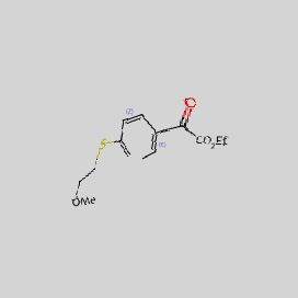 C=C(/C=C\C(=C/C)C(=O)C(=O)OCC)SCCOC